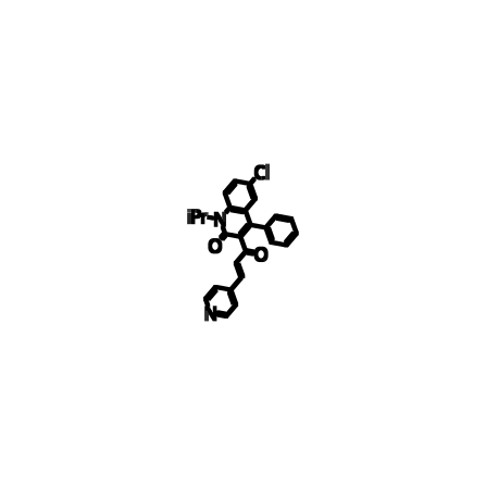 CC(C)n1c(=O)c(C(=O)/C=C/c2ccncc2)c(-c2ccccc2)c2cc(Cl)ccc21